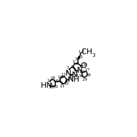 CCC#Cc1cc2cnc(Nc3ccc(C4CCNCC4)cc3)nc2n(C2CCCC2)c1=O